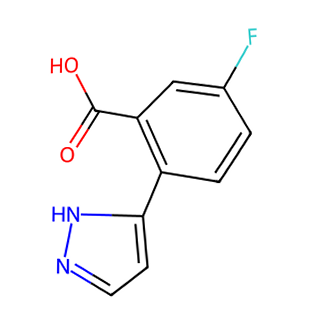 O=C(O)c1cc(F)ccc1-c1ccn[nH]1